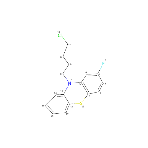 Fc1ccc2c(c1)N(CCCCCl)c1ccccc1S2